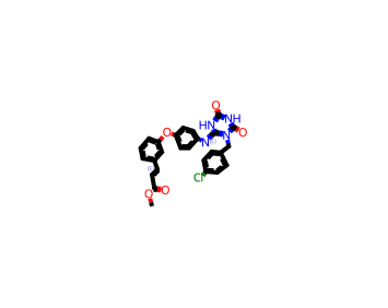 COC(=O)/C=C/c1cccc(Oc2ccc(/N=c3\[nH]c(=O)[nH]c(=O)n3Cc3ccc(Cl)cc3)cc2)c1